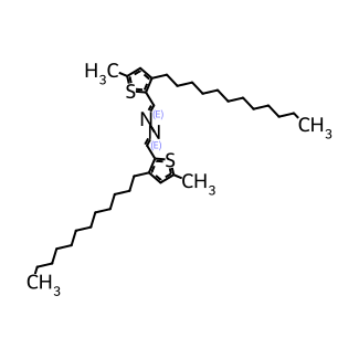 CCCCCCCCCCCCc1cc(C)sc1/C=N/N=C/c1sc(C)cc1CCCCCCCCCCCC